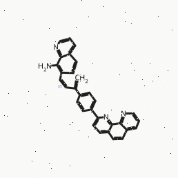 C=C(/C=C\c1ccc2cccnc2c1N)c1ccc(-c2ccc3ccc4cccnc4c3n2)cc1